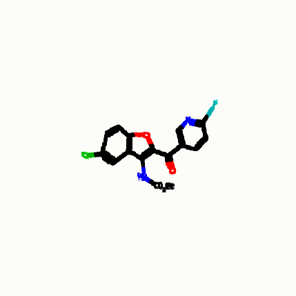 CCOC(=O)Nc1c(C(=O)c2ccc(F)nc2)oc2ccc(Cl)cc12